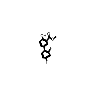 COC(=O)c1cc(-c2ccc(F)cc2F)ccc1O